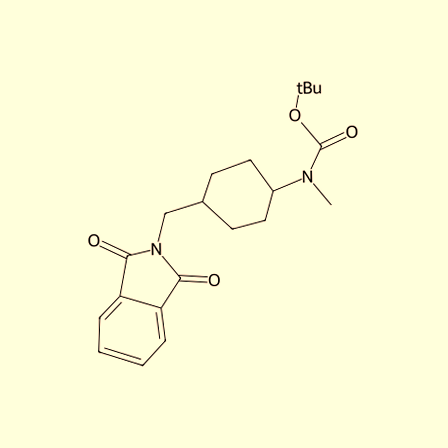 CN(C(=O)OC(C)(C)C)C1CCC(CN2C(=O)c3ccccc3C2=O)CC1